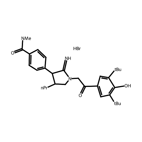 Br.CCCC1CN(CC(=O)c2cc(C(C)(C)C)c(O)c(C(C)(C)C)c2)C(=N)C1c1ccc(C(=O)NC)cc1